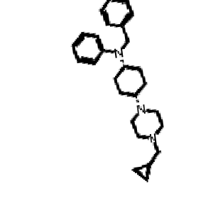 c1ccc(CN(c2ccccc2)[C@H]2CC[C@@H](N3CCN(CC4CC4)CC3)CC2)cc1